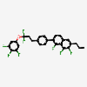 CCCc1cc2ccc(-c3ccc(CCC(F)(F)Oc4cc(F)c(F)c(F)c4)cc3)c(F)c2c(F)c1F